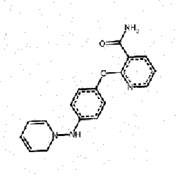 NC(=O)c1cccnc1Oc1ccc(NN2C=CC=CC2)cc1